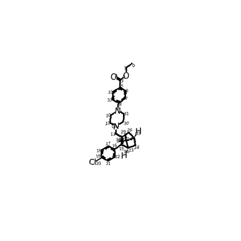 CCOC(=O)c1ccc(N2CCN(CC3=C(c4ccc(Cl)cc4)[C@@H]4C[C@@H](C3)C4(C)C)CC2)cc1